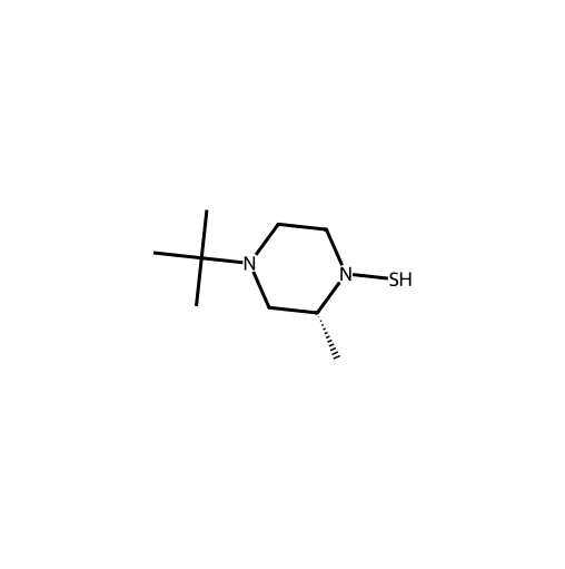 C[C@@H]1CN(C(C)(C)C)CCN1S